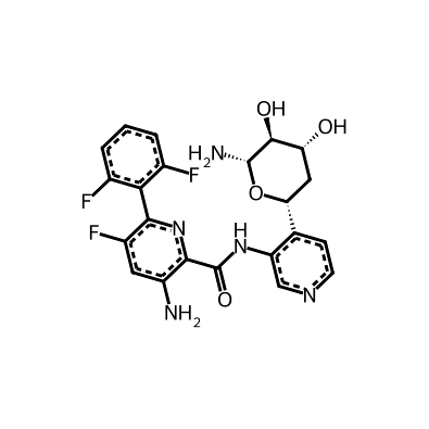 Nc1cc(F)c(-c2c(F)cccc2F)nc1C(=O)Nc1cnccc1[C@H]1C[C@@H](O)[C@H](O)[C@@H](N)O1